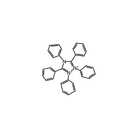 c1ccc(-c2n(-c3ccccc3)c(-c3ccccc3)[n+](-c3ccccc3)[n+]2-c2ccccc2)cc1